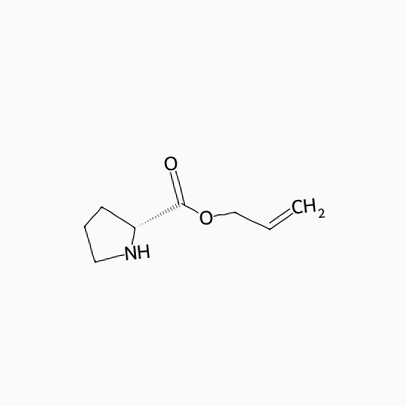 C=CCOC(=O)[C@H]1CCCN1